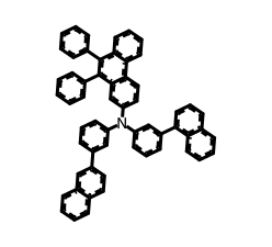 c1ccc(-c2c(-c3ccccc3)c3cc(N(c4cccc(-c5ccc6ccccc6c5)c4)c4cccc(-c5cccc6ccccc56)c4)ccc3c3ccccc23)cc1